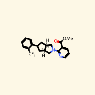 COC(=O)c1cccnc1N1C[C@H]2CC(c3ccccc3C(F)(F)F)C[C@H]2C1